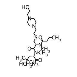 CCCC(=O)N(C)[C@H](CSCCN1CCN(CCO)CC1)C(=O)N(C)[C@@H](CC(C)(C)O)C(N)=O